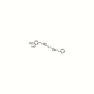 Oc1ccc(CCNCCSCCCNCCc2ccccc2)cc1O